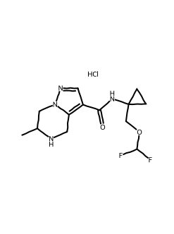 CC1Cn2ncc(C(=O)NC3(COC(F)F)CC3)c2CN1.Cl